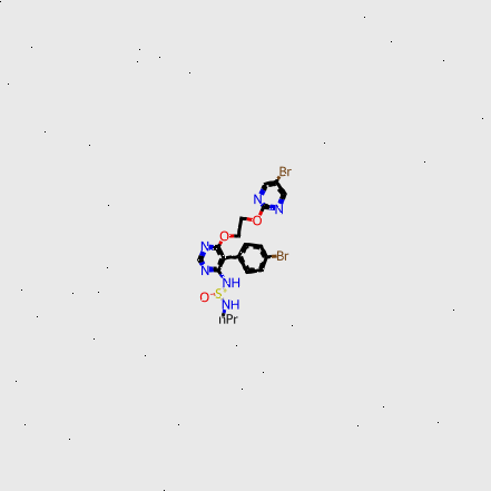 CCCN[S+]([O-])Nc1ncnc(OCCOc2ncc(Br)cn2)c1-c1ccc(Br)cc1